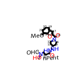 CCCCC[C@H](CN(O)C=O)C(=O)NNC1CCN(C(=O)c2cc3cccc(OC)c3o2)CC1